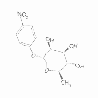 C[C@H]1O[C@H](Oc2ccc([N+](=O)[O-])cc2)[C@@H](O)[C@@H](O)[C@@H]1O